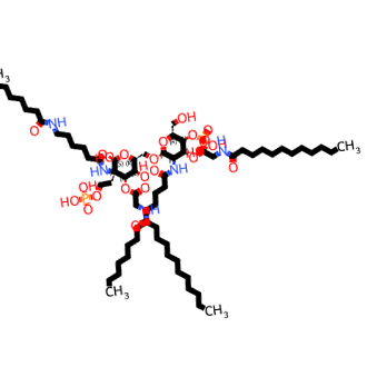 CCCCCCCCCCCCCC(=O)N[C@H]1[C@H](OC[C@H]2O[C@H](O)[C@](CCOP(=O)(O)O)(NC(=O)CCCCCNC(=O)CCCCCCC)[C@@H](OC(=O)CNC(=O)CCCCCCCCCCC)[C@@H]2O)O[C@H](CO)[C@@H](OP(=O)(O)O)[C@@H]1OC(=O)CNC(=O)CCCCCCCCCCC